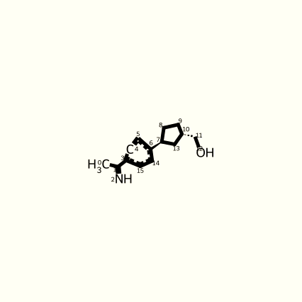 CC(=N)c1ccc([C@H]2CC[C@H](CO)C2)cc1